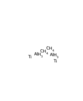 C.C.[AlH3].[AlH3].[Ti].[Ti]